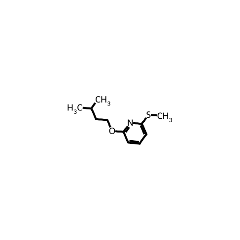 CSc1cccc(OCCC(C)C)n1